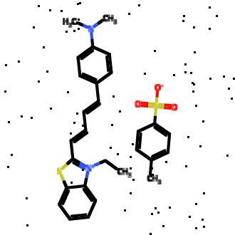 CC[n+]1c(C=CC=Cc2ccc(N(C)C)cc2)sc2ccccc21.Cc1ccc(S(=O)(=O)[O-])cc1